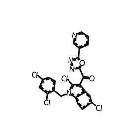 O=C(c1nnc(-c2cccnc2)o1)c1c(Cl)n(Cc2ccc(Cl)cc2Cl)c2ccc(Cl)cc12